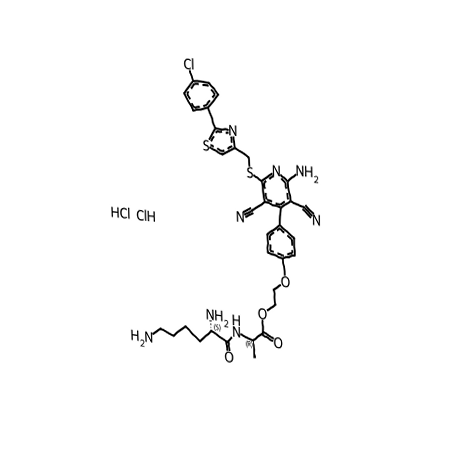 C[C@@H](NC(=O)[C@@H](N)CCCCN)C(=O)OCCOc1ccc(-c2c(C#N)c(N)nc(SCc3csc(-c4ccc(Cl)cc4)n3)c2C#N)cc1.Cl.Cl